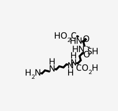 NCCCNCCCCNN[C@@H](CCC(=O)N[C@@H](CS)C(=O)NCC(=O)O)C(=O)O